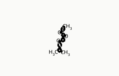 Cc1cc(C)cc(N2CCN(C(=O)c3cccc(N4CC(C(=O)N5CCN(C)CC5)CC4=O)c3)CC2)c1